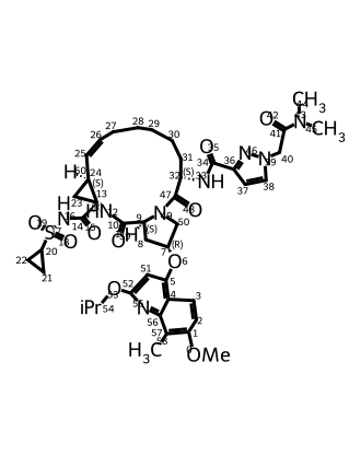 COc1ccc2c(O[C@@H]3C[C@H]4C(=O)N[C@]5(C(=O)NS(=O)(=O)C6CC6)C[C@H]5C=CCCCCC[C@H](NC(=O)c5ccn(CC(=O)N(C)C)n5)C(=O)N4C3)cc(OC(C)C)nc2c1C